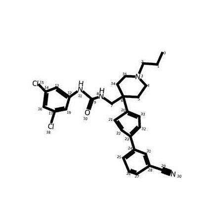 CCCN1CCC(CNC(=O)Nc2cc(Cl)cc(Cl)c2)(c2ccc(-c3cccc(C#N)c3)cc2)CC1